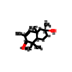 CC12C=C(C#N)C(=O)C(C)(C)C1CC[C@](C)(O)C2